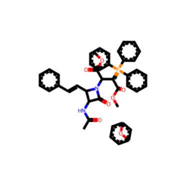 COC(=O)C(C(C(=O)OC)N1C(=O)C(NC(C)=O)C1C=Cc1ccccc1)=P(c1ccccc1)(c1ccccc1)c1ccccc1.c1cc2cc(c1)O2